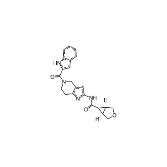 O=C(Nc1nc2c(s1)CN(C(=O)c1cc3ccccc3[nH]1)CC2)C1[C@H]2COC[C@@H]12